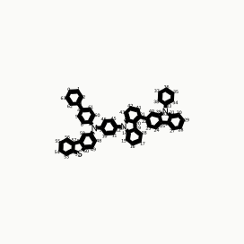 c1ccc(-c2ccc(N(c3ccc(-n4c5ccccc5c5c(-c6ccc7c8ccccc8n(-c8ccccc8)c7c6)cccc54)cc3)c3ccc4sc5ccccc5c4c3)cc2)cc1